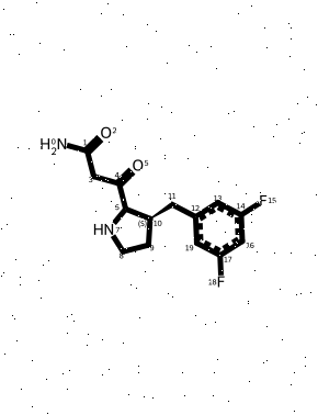 NC(=O)CC(=O)C1NCC[C@@H]1Cc1cc(F)cc(F)c1